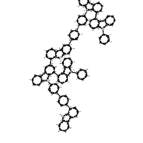 c1ccc(-n2c3ccccc3c3c(-c4cccc5c6ccccc6n(-c6ccc(-c7ccc(-c8ccc9oc%10c(-c%11cc(-c%12cccc%13c%12c%12ccccc%12n%13-c%12ccccc%12)c%12c(c%11)c%11ccccc%11n%12-c%11ccc(-c%12ccc(-c%13cccc%14c%13oc%13ccccc%13%14)cc%12)cc%11)cccc%10c9c8)cc7)cc6)c45)cccc32)cc1